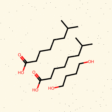 CC(C)CCCCCC(=O)O.CC(C)CCCCCC(=O)O.OCCCCO